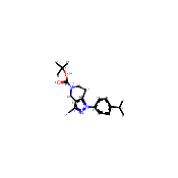 CC(C)c1ccc(-n2nc(I)c3c2CCN(C(=O)OC(C)(C)C)C3)cc1